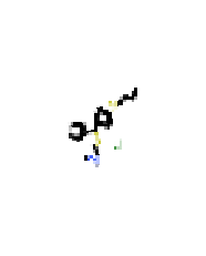 CCCCSc1ccc(C(SCCN(C)C)c2ccccc2)cc1.Cl